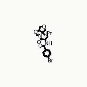 CC(C)CC(NC(=O)c1ccc(Br)cc1)C(=O)N(C)C1(C)COCC1=O